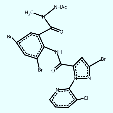 CC(=O)NN(C)C(=O)c1cc(Br)cc(Br)c1NC(=O)c1cc(Br)nn1-c1ncccc1Cl